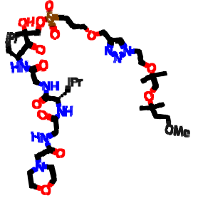 COCCC(C)(C)OCC(C)(C)OCCn1cc(COCCCS(=O)(=O)OCC(C)(O)C(=O)[C@H](CC(C)C)NC(=O)CNC(=O)[C@H](CC(C)C)NC(=O)CNC(=O)CN2CCOCC2)nn1